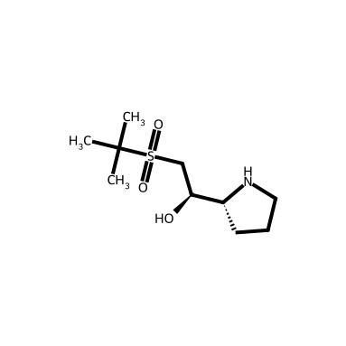 CC(C)(C)S(=O)(=O)C[C@H](O)[C@H]1CCCN1